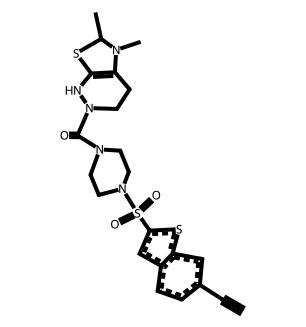 C#Cc1ccc2cc(S(=O)(=O)N3CCN(C(=O)N4CCC5=C(N4)SC(C)N5C)CC3)sc2c1